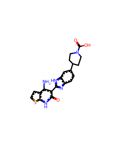 Nc1c(-c2nc3ccc(C4CCN(C(=O)O)CC4)cc3[nH]2)c(=O)[nH]c2sccc12